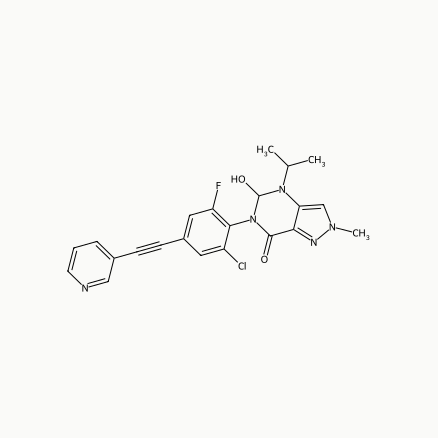 CC(C)N1c2cn(C)nc2C(=O)N(c2c(F)cc(C#Cc3cccnc3)cc2Cl)C1O